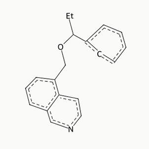 [CH2]CC(OCc1cccc2cnccc12)c1ccccc1